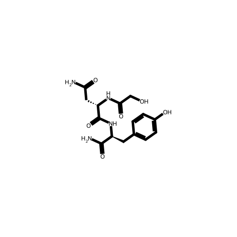 NC(=O)C[C@H](NC(=O)CO)C(=O)N[C@@H](Cc1ccc(O)cc1)C(N)=O